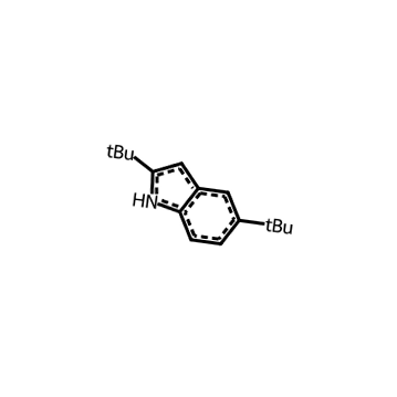 CC(C)(C)c1ccc2[nH]c(C(C)(C)C)cc2c1